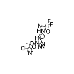 C[C@@H](OC(=O)Nc1c(-c2ccc(NC(=O)C3(C#N)CC(F)(F)C3)cn2)nnn1C)c1ccncc1Cl